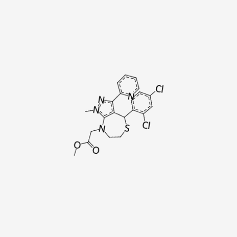 COC(=O)CN1CCSC(c2ccc(Cl)cc2Cl)c2c(-c3ccccn3)nn(C)c21